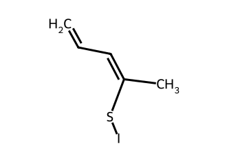 C=C/C=C(/C)SI